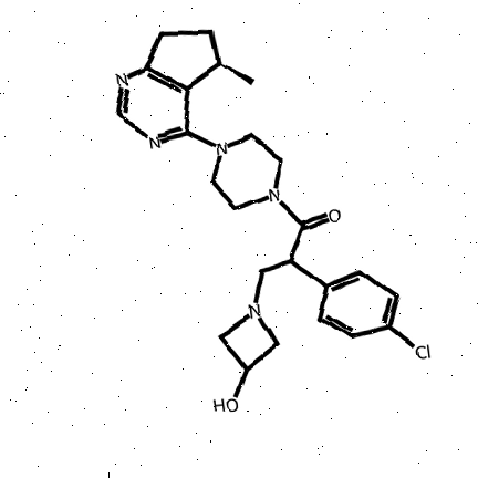 C[C@@H]1CCc2ncnc(N3CCN(C(=O)C(CN4CC(O)C4)c4ccc(Cl)cc4)CC3)c21